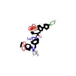 CN(Cc1ccc(NC(=O)C2=Cc3cc(-c4ccc(Cl)cc4)ccc3S(=O)(=O)CC2)cc1)C1CCC2(CC1)OCCO2